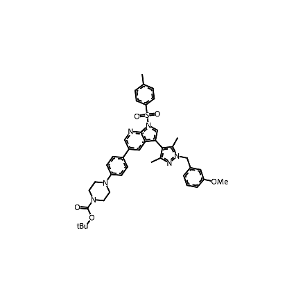 COc1cccc(Cn2nc(C)c(-c3cn(S(=O)(=O)c4ccc(C)cc4)c4ncc(-c5ccc(N6CCN(C(=O)OC(C)(C)C)CC6)cc5)cc34)c2C)c1